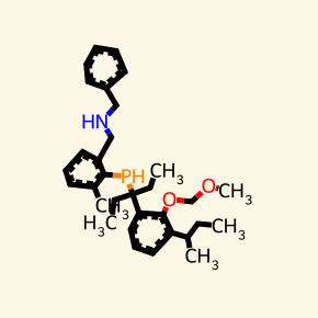 CCC(C)c1cccc(C(CC)(CC)Pc2c(C)cccc2CNCc2ccccc2)c1OCOC